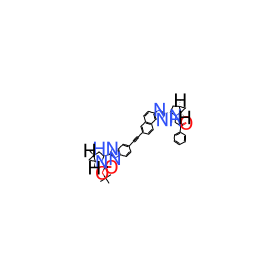 CC(C)(C)OC(=O)N1[C@@H]2C[C@@H]2C[C@H]1c1nc2ccc(C#Cc3ccc4c(ccc5nc([C@@H]6C[C@H]7C[C@H]7N6CC(=O)c6ccccc6)[nH]c54)c3)cc2[nH]1